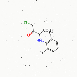 CCc1cccc(CC)c1NC(C(=O)O)C(=O)CCl